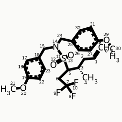 C=CC[C@H](C)C(CC(F)(F)F)S(=O)(=O)N(Cc1ccc(OC)cc1)Cc1ccc(OC)cc1